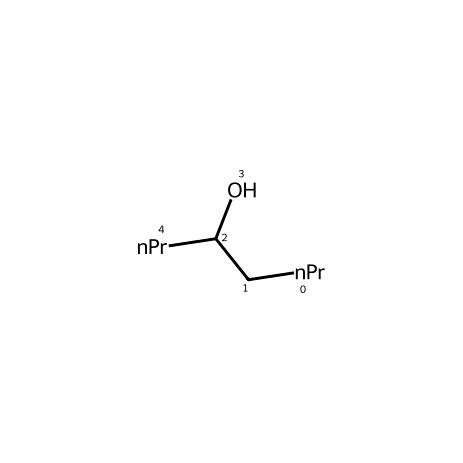 CCCCC(O)CCC